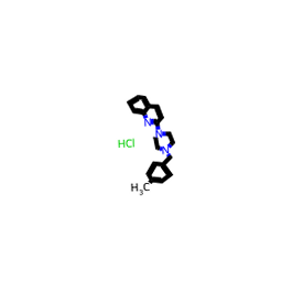 Cc1ccc(CN2CCN(c3ccc4ccccc4n3)CC2)cc1.Cl